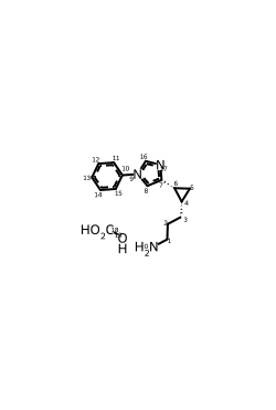 NCCC[C@H]1C[C@H]1c1cn(-c2ccccc2)cn1.O=C(O)O